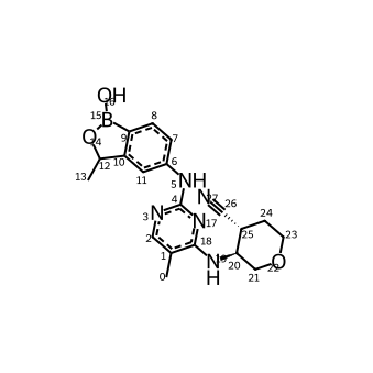 Cc1cnc(Nc2ccc3c(c2)C(C)OB3O)nc1N[C@@H]1COCC[C@H]1C#N